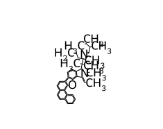 C=CCC(C)(/N=C/C(C)C(C)C)C(C)(C)C1c2ccc3c(oc4c3ccc3ccc5ccccc5c34)c2/C(=C/C)N1C